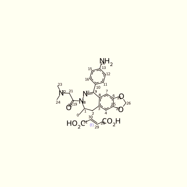 CC1Cc2cc3c(cc2C(c2ccc(N)cc2)=NN1C(=O)CN(C)C)OCO3.O=C(O)/C=C/C(=O)O